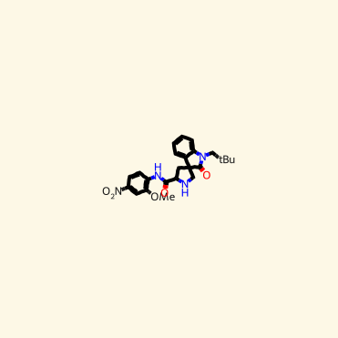 COc1cc([N+](=O)[O-])ccc1NC(=O)C1CC2(CN1)C(=O)N(CC(C)(C)C)c1ccccc12